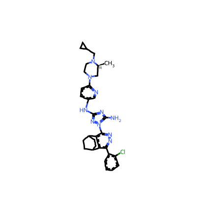 C[C@H]1CN(c2ccc(Nc3nc(N)n(-c4nnc(-c5ccccc5Cl)c5c4C4CCC5CC4)n3)cn2)CCN1CC1CC1